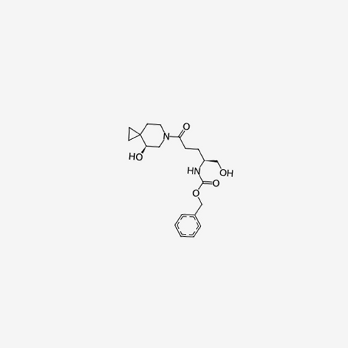 O=C(N[C@H](CO)CCC(=O)N1CCC2(CC2)[C@H](O)C1)OCc1ccccc1